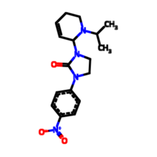 CC(C)N1CCC=CC1N1CCN(c2ccc([N+](=O)[O-])cc2)C1=O